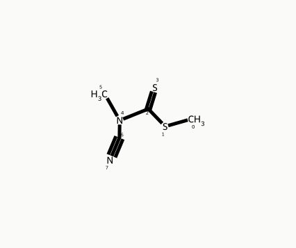 CSC(=S)N(C)C#N